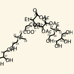 CCC(OC(C)=O)C(=O)OC(C)=O.CCC(OC(C)=O)C(=O)OC(C)=O.C[N+](C)(C)CCO.C[N+](C)(C)CCO.O=C([O-])CC(=O)[O-].OCC(O)CO.OCC(O)CO